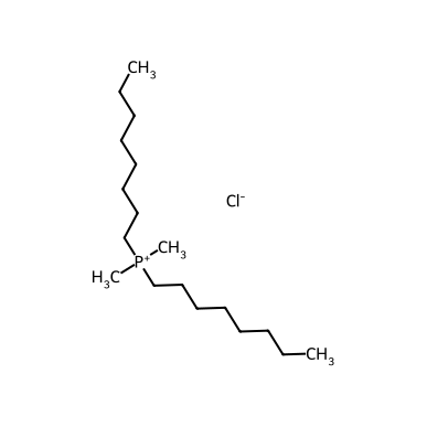 CCCCCCCC[P+](C)(C)CCCCCCCC.[Cl-]